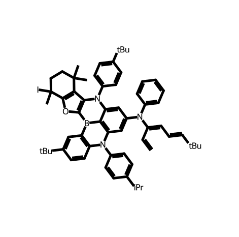 C=C/C(=C\C=C\C(C)(C)C)N(c1ccccc1)c1cc2c3c(c1)N(c1ccc(C(C)(C)C)cc1)c1c(oc4c1C(C)(C)CCC4(C)I)B3c1cc(C(C)(C)C)ccc1N2c1ccc(C(C)C)cc1